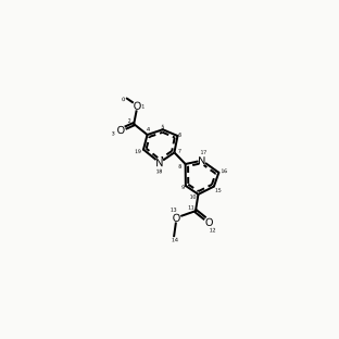 COC(=O)c1ccc(-c2cc(C(=O)OC)ccn2)nc1